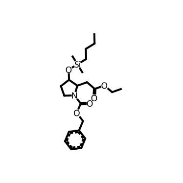 CCCC[Si](C)(C)OC1CCN(C(=O)OCc2ccccc2)C1CC(=O)OCC